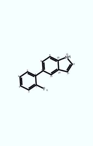 Fc1ccccc1-c1ccc2[nH][c]cc2c1